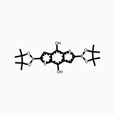 CC1(C)OB(c2cc3c(O)c4sc(B5OC(C)(C)C(C)(C)O5)cc4c(O)c3s2)OC1(C)C